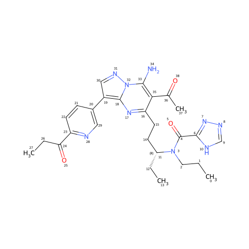 CCCN(C(=O)c1nnc[nH]1)[C@H](CC)CCc1nc2c(-c3ccc(C(=O)CC)nc3)cnn2c(N)c1C(C)=O